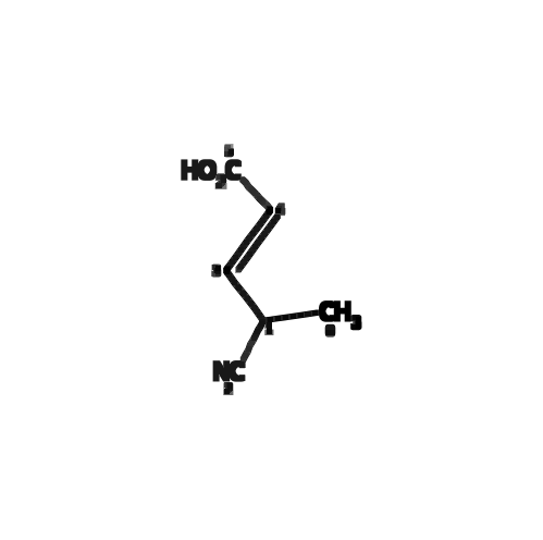 CC(C#N)C=CC(=O)O